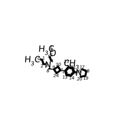 CCCN(CCOC)C[C@H]1C[C@H](c2ccc(N3CCCC3)cc2C)C1